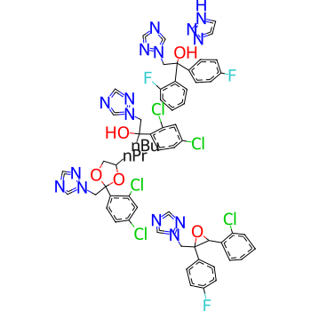 CCCC1COC(Cn2cncn2)(c2ccc(Cl)cc2Cl)O1.CCCCC(O)(Cn1cncn1)c1ccc(Cl)cc1Cl.Fc1ccc(C2(Cn3cncn3)OC2c2ccccc2Cl)cc1.OC(Cn1cncn1)(c1ccc(F)cc1)c1ccccc1F.c1c[nH]nn1